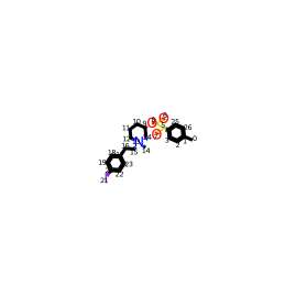 Cc1ccc(S(=O)(=O)OC2CCC[N+](C)(CCc3ccc(I)cc3)C2)cc1